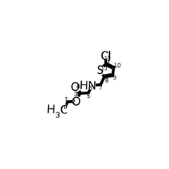 CCOC(=O)CNCc1ccc(Cl)s1